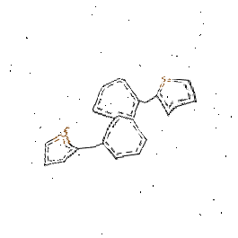 c1csc(-c2cccc3c(-c4cccs4)cccc23)c1